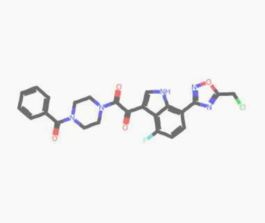 O=C(C(=O)N1CCN(C(=O)c2ccccc2)CC1)c1c[nH]c2c(-c3noc(CCl)n3)ccc(F)c12